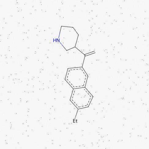 C=C(c1ccc2cc(CC)ccc2c1)C1CCCNC1